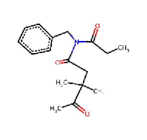 CCC(=O)N(Cc1ccccc1)C(=O)CC(C)(C)C(C)=O